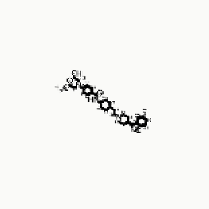 CC1CN(c2ccc(C(=O)NC3CCC(CCN4CCC(c5noc6ccc(F)cc56)CC4)CC3)cc2)CC(C)O1